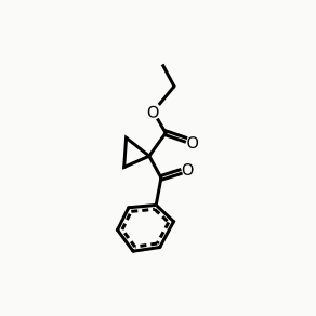 CCOC(=O)C1(C(=O)c2ccccc2)CC1